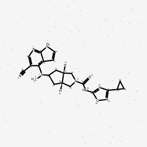 CN(c1c(C#N)cnc2[nH]ccc12)C1C[C@@H]2CN(C(=O)Nc3nc(C4CC4)no3)C[C@@H]2C1